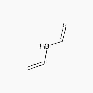 C=CBC=C